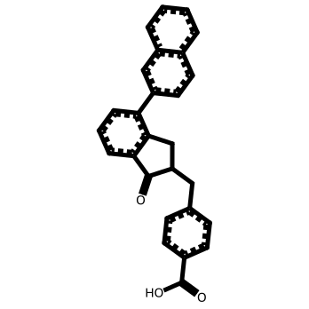 O=C(O)c1ccc(CC2Cc3c(cccc3-c3ccc4ccccc4c3)C2=O)cc1